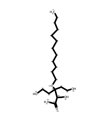 CCCCCCCCCCCCOC(CCO)(CCO)C(O)C(N)=O